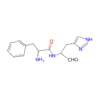 NC(Cc1ccccc1)C(=O)NC([C]=O)Cc1c[nH]cn1